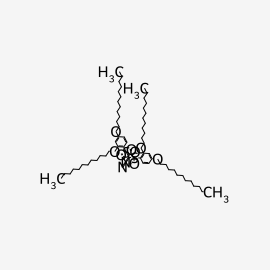 CCCCCCCCCCCCOc1ccc(S(=O)(=O)C(=[N+]=[N-])S(=O)(=O)c2ccc(OCCCCCCCCCCCC)cc2OCCCCCCCCCCCC)c(OCCCCCCCCCCCC)c1